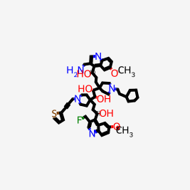 COc1ccc2ncc(CN)c([C@@H](O)CCC3(C(O)C(O)C4(CC[C@H](O)c5c(CF)cnc6ccc(OC)cc56)CCN(CC#Cc5cccs5)CC4)CCN(CCC4CCCCC4)CC3)c2c1